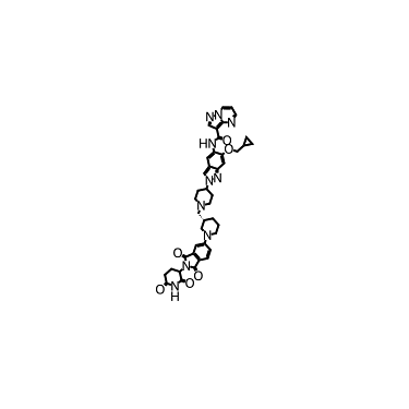 O=C1CCC(N2C(=O)c3ccc(N4CCC[C@@H](CN5CCC(n6cc7cc(NC(=O)c8cnn9cccnc89)c(OCC8CC8)cc7n6)CC5)C4)cc3C2=O)C(=O)N1